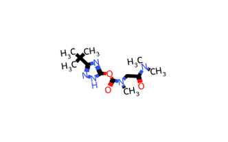 CN(C)C(=O)CN(C)C(=O)Oc1nc(C(C)(C)C)n[nH]1